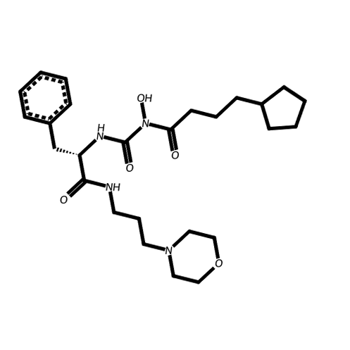 O=C(NCCCN1CCOCC1)[C@H](Cc1ccccc1)NC(=O)N(O)C(=O)CCCC1CCCC1